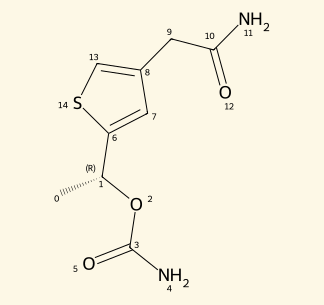 C[C@@H](OC(N)=O)c1cc(CC(N)=O)cs1